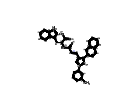 Cc1cccc(-n2cc(/C=C/C(=O)N[C@@H](Cc3c[nH]c4ccccc34)C(=O)O)c(-c3ccc4ccccc4c3)n2)c1